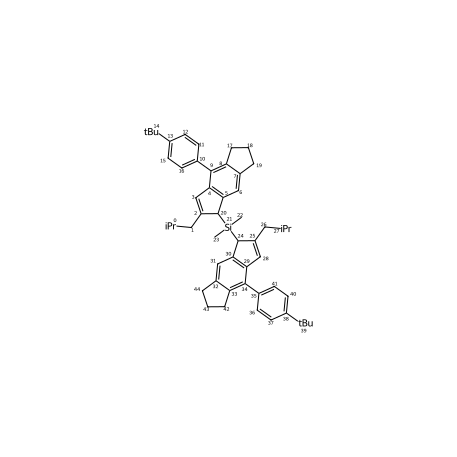 CC(C)CC1=Cc2c(cc3c(c2-c2ccc(C(C)(C)C)cc2)CCC3)C1[Si](C)(C)C1C(CC(C)C)=Cc2c1cc1c(c2-c2ccc(C(C)(C)C)cc2)CCC1